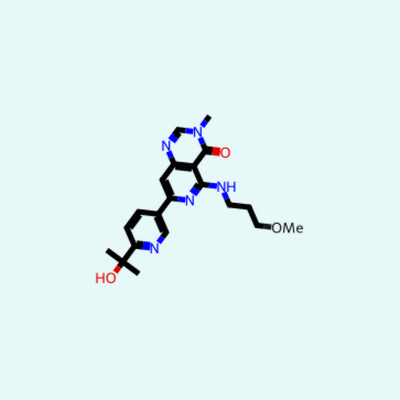 COCCCNc1nc(-c2ccc(C(C)(C)O)nc2)cc2ncn(C)c(=O)c12